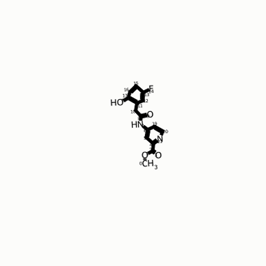 COC(=O)c1cc(NC(=O)Cc2cc(F)ccc2O)ccn1